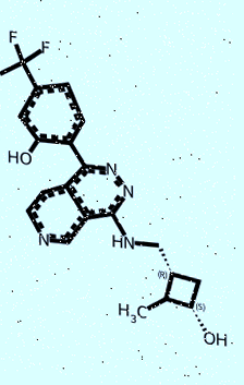 CC1[C@H](CNc2nnc(-c3ccc(C(F)(F)F)cc3O)c3ccncc23)C[C@@H]1O